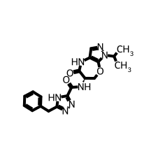 CC(C)n1ncc2c1OC[C@H](NC(=O)c1nnc(Cc3ccccc3)[nH]1)C(=O)N2